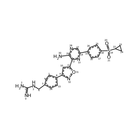 N=C(N)NCc1ccc(-c2cc(-c3nc(-c4ccc(S(=O)(=O)C5CC5)cc4)cnc3N)on2)cc1